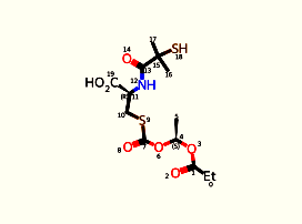 CCC(=O)O[C@H](C)OC(=O)SC[C@H](NC(=O)C(C)(C)S)C(=O)O